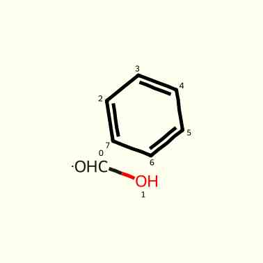 O=[C]O.c1ccccc1